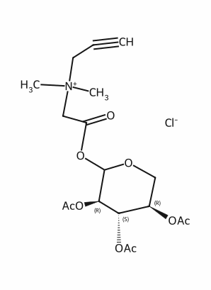 C#CC[N+](C)(C)CC(=O)OC1OC[C@@H](OC(C)=O)[C@H](OC(C)=O)[C@H]1OC(C)=O.[Cl-]